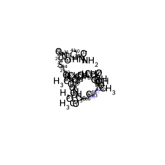 COc1cc2cc(c1Cl)N(C)C(=O)C[C@H](OC(=O)C(C)(C)OCCCSC1CC(=O)N(C[C@H]3CC[C@H](C(=O)NN)CC3)C1=O)[C@]1(C)O[C@H]1[C@H](C)C1C[C@@](O)(NC(=O)O1)[C@H](OC)/C=C/C=C(\C)C2